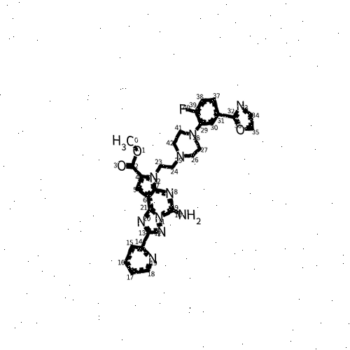 COC(=O)c1cc2c(nc(N)n3nc(-c4ccccn4)nc23)n1CCN1CCN(c2cc(-c3ncco3)ccc2F)CC1